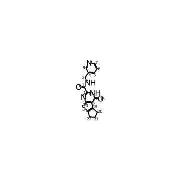 O=C(NCc1cccnc1)c1nc2sc3c(c2c(=O)[nH]1)CCC3